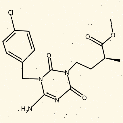 COC(=O)[C@@H](C)CCn1c(=O)nc(N)n(Cc2ccc(Cl)cc2)c1=O